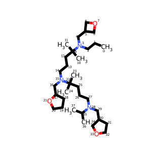 CCCN(CC1COC1)C(C)(C)CCCN(CC1CCCO1)C(C)(C)CCCN(CC1CCOC1)C(C)C